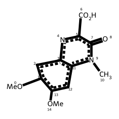 COc1cc2nc(C(=O)O)c(=O)n(C)c2cc1OC